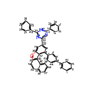 c1ccc(-c2ccc(-c3cc(-c4nc(-c5ccccc5)nc(-c5ccccc5)n4)cc4oc5ccc6ccccc6c5c34)cc2)cc1